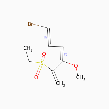 C=C(/C(=C\C=C\Br)OC)S(=O)(=O)CC